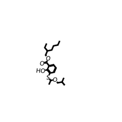 CCCCC(CC)COC(=O)c1cccc(SC(C)OCC(C)C)c1O